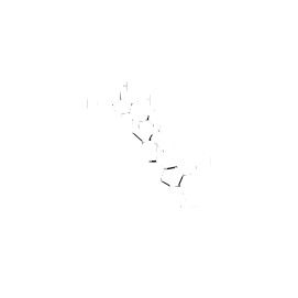 COc1ccc(C(=O)Nc2nc(=O)n([C@@H]3O[C@H](C)C(O)C3O)cc2F)cc1OC